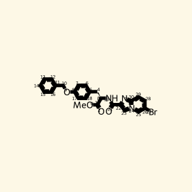 COC(=O)[C@H](Cc1ccc(OCc2ccccc2)cc1)NC(=O)c1cn2cc(Br)ccc2n1